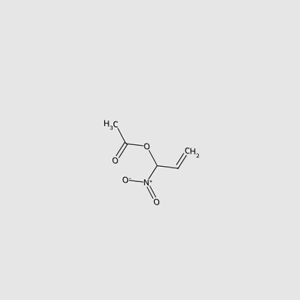 C=CC(OC(C)=O)[N+](=O)[O-]